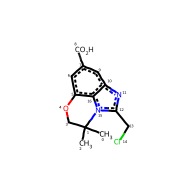 CC1(C)COc2cc(C(=O)O)cc3nc(CCl)n1c23